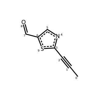 CC#Cc1ncc(C=O)s1